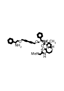 CNCC(=S)N[C@H]1CCS[C@H]2CC(C)(C)[C@@H](C(=O)N[C@H](COCC#CC#CCOC[C@@H](N)c3ccccc3)c3ccccc3)N2C1=O